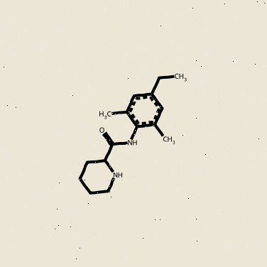 CCc1cc(C)c(NC(=O)C2CCCCN2)c(C)c1